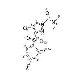 CN(C)C(=O)n1cc(Cl)c(S(=O)(=O)c2ccc(F)cc2F)n1